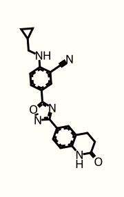 N#Cc1cc(-c2nc(-c3ccc4c(c3)CCC(=O)N4)no2)ccc1NCC1CC1